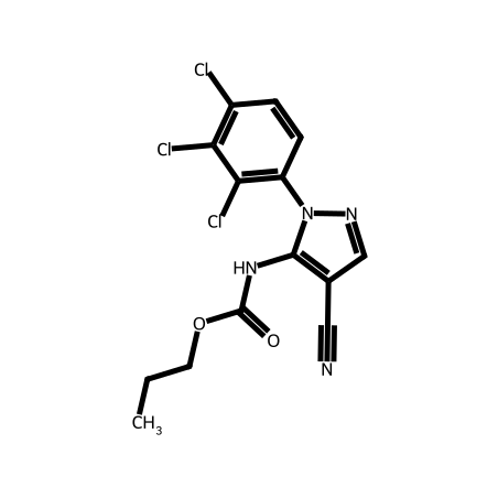 CCCOC(=O)Nc1c(C#N)cnn1-c1ccc(Cl)c(Cl)c1Cl